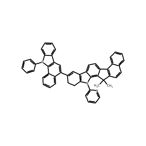 CC1(C)c2ccc3ccccc3c2-c2ccc3c4c(n(-c5ccccn5)c3c21)CCC(c1cc2c3ccccc3n(-c3ccccc3)c2c2ccccc12)=C4